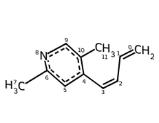 C=C/C=C\c1cc(C)ncc1C